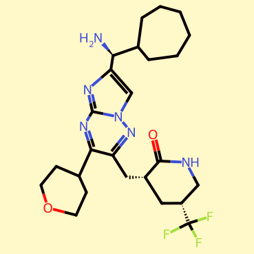 N[C@H](c1cn2nc(C[C@H]3C[C@@H](C(F)(F)F)CNC3=O)c(C3CCOCC3)nc2n1)C1CCCCCC1